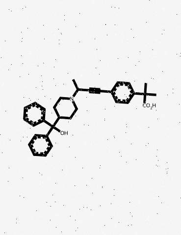 CC(C#Cc1ccc(C(C)(C)C(=O)O)cc1)N1CCC(C(O)(c2ccccc2)c2ccccc2)CC1